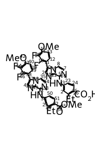 CCc1cc(Nc2nccn3c(-c4ccc(OC)c(F)c4F)cnc23)ccc1C(=O)O.CCc1cc(Nc2nccn3c(-c4ccc(OC)c(F)c4F)cnc23)ccc1C(=O)OC